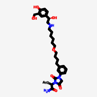 CC(=O)OC(C(N)=O)N1C(=O)CN(c2cccc(CCCCOCCCCCCNC[C@@H](O)c3ccc(O)c(CO)c3)c2)C1=O